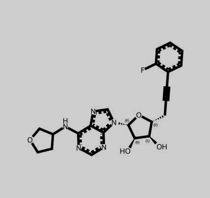 O[C@@H]1[C@H](O)[C@@H](CC#Cc2ccccc2F)O[C@H]1n1cnc2c(NC3CCOC3)ncnc21